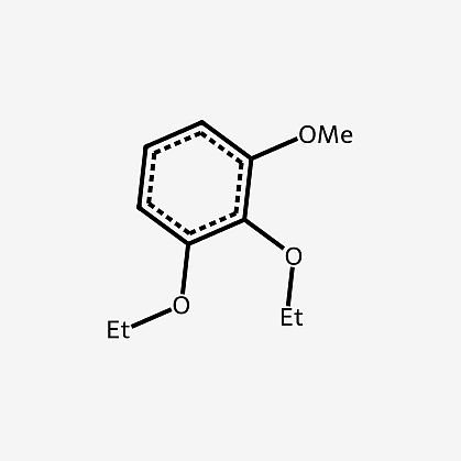 CCOc1cccc(OC)c1OCC